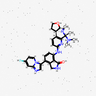 C=N[C@@](C)(c1nc(Nc2ccc(-c3cnc4cc(F)ccn34)c3c2C(=O)NC3)ccc1[C@H]1CCOC1)N(C)C